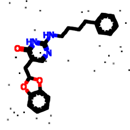 O=c1[nH]c(NCCCCc2ccccc2)ncc1CC1Oc2ccccc2O1